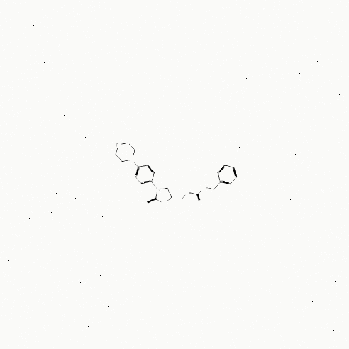 C=C1O[C@@H](CNC(=O)OCc2ccccc2)CN1c1ccc(N2CCNCC2)cc1